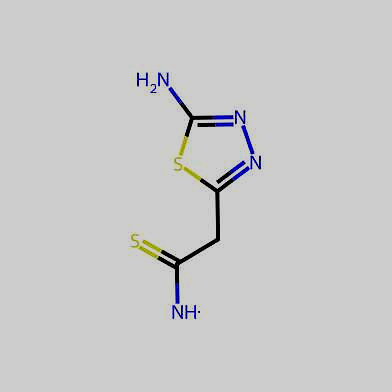 [NH]C(=S)Cc1nnc(N)s1